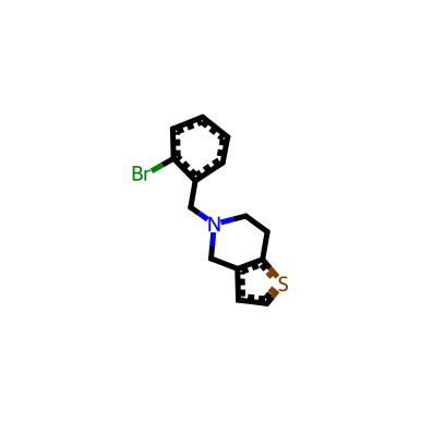 Brc1ccccc1CN1CCc2sccc2C1